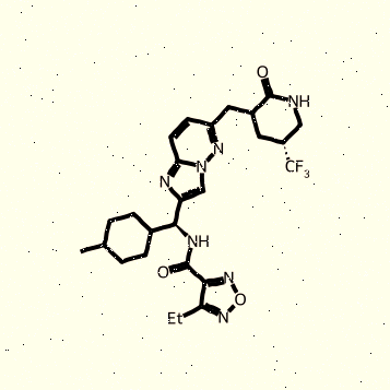 CCc1nonc1C(=O)N[C@H](c1cn2nc(CC3C[C@@H](C(F)(F)F)CNC3=O)ccc2n1)C1CCC(C)CC1